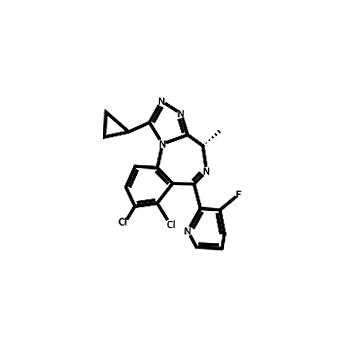 C[C@@H]1N=C(c2ncccc2F)c2c(ccc(Cl)c2Cl)-n2c(C3CC3)nnc21